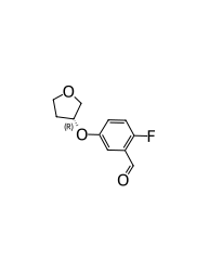 O=Cc1cc(O[C@@H]2CCOC2)ccc1F